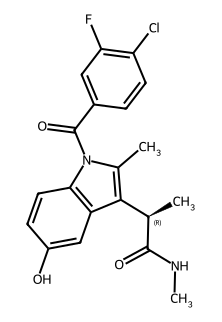 CNC(=O)[C@H](C)c1c(C)n(C(=O)c2ccc(Cl)c(F)c2)c2ccc(O)cc12